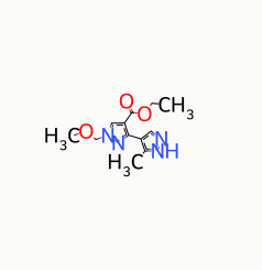 CCOC(=O)c1cn(COC)nc1-c1cn[nH]c1C